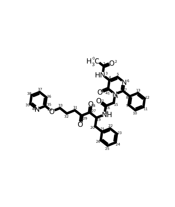 CC(=O)Nc1cnc(-c2ccccc2)n(CC(=O)NC(Cc2ccccc2)C(=O)C(=O)CCCOc2ccccn2)c1=O